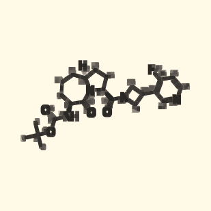 CC(C)(C)OC(=O)N[C@H]1CCC[C@H]2CC[C@@H](C(=O)N3CC(c4cnccc4F)C3)N2C1=O